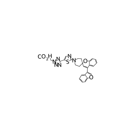 O=C(O)Cn1nnc(-c2cnc(N3CCC4(C=C(c5coc6ccccc56)c5ccccc5O4)CC3)s2)n1